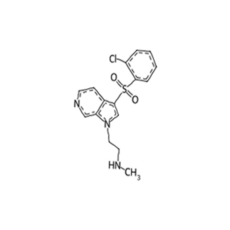 CNCCn1cc(S(=O)(=O)c2ccccc2Cl)c2ccncc21